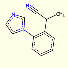 CC(C#N)c1ccccc1-n1ccnc1